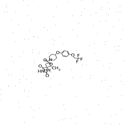 CCC1(CS(=O)(=O)N2CCC(Oc3ccc(OCC(F)(F)F)cc3)CC2)NC(=O)NC1=O